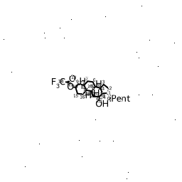 CCC[C@@H](C)[C@H]1CC[C@H]2[C@@H]3CC[C@@H]4C[C@H](OC(=O)C(F)(F)F)CC[C@]4(C)[C@H]3C[C@H](O)[C@]12C